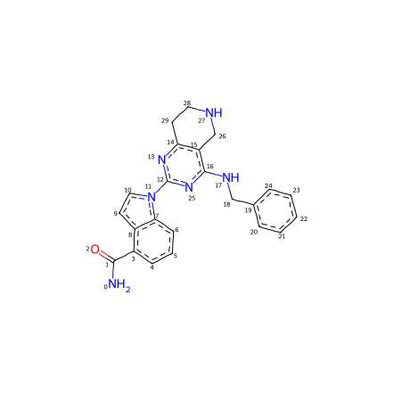 NC(=O)c1cccc2c1ccn2-c1nc2c(c(NCc3ccccc3)n1)CNCC2